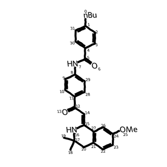 CCCCc1ccc(C(=O)Nc2ccc(C(=O)C=C3NC(C)(C)Cc4ccc(OC)cc43)cc2)cc1